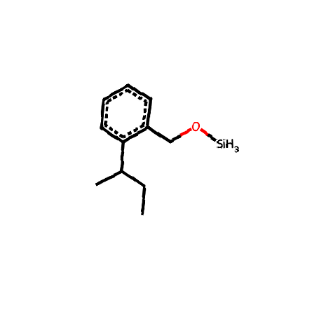 CCC(C)c1ccccc1CO[SiH3]